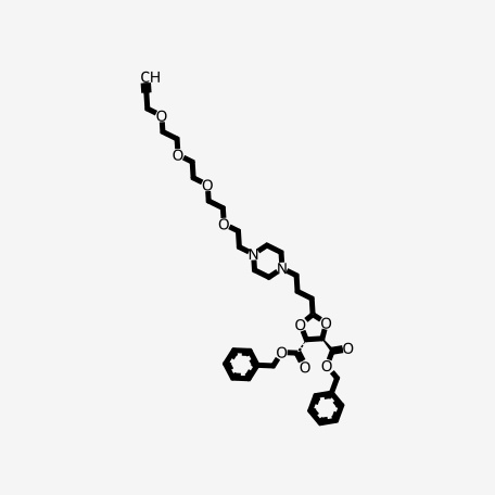 C#CCOCCOCCOCCOCCN1CCN(CCCC2O[C@@H](C(=O)OCc3ccccc3)[C@H](C(=O)OCc3ccccc3)O2)CC1